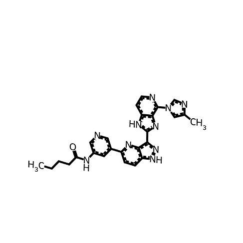 CCCCC(=O)Nc1cncc(-c2ccc3[nH]nc(-c4nc5c(-n6cnc(C)c6)nccc5[nH]4)c3n2)c1